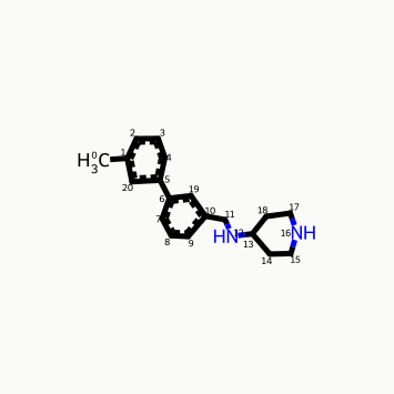 Cc1cccc(-c2cccc(CNC3CCNCC3)c2)c1